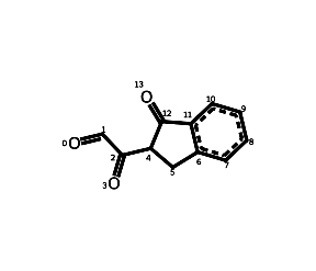 O=CC(=O)C1Cc2ccccc2C1=O